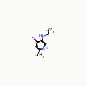 Cc1cc(I)c(NCC(F)(F)F)cn1